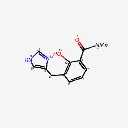 CNC(=O)c1cccc(Cc2c[nH]cn2)c1O